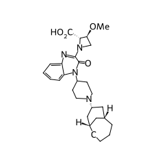 CO[C@H]1CN(c2nc3ccccc3n(C3CCN([C@@H]4C[C@@H]5CCCC[C@@H](C5)C4)CC3)c2=O)[C@@H]1C(=O)O